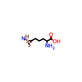 N#[SH]1SC1CCCC(N)C(=O)O